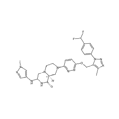 Cc1nnn(-c2ccc(C(F)F)cc2)c1COc1ccc(N2CCN3CC(Nc4cnn(C)c4)NC(=O)[C@@H]3C2)nn1